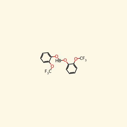 FC(F)(F)Oc1ccccc1OBOc1ccccc1OC(F)(F)F